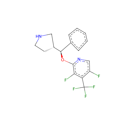 Fc1cnc(O[C@H](c2ccccc2)[C@@H]2CCNC2)c(F)c1C(F)(F)F